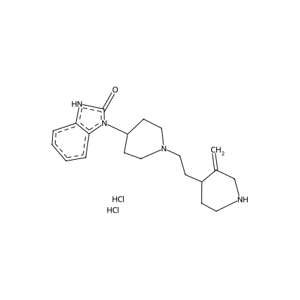 C=C1CNCCC1CCN1CCC(n2c(=O)[nH]c3ccccc32)CC1.Cl.Cl